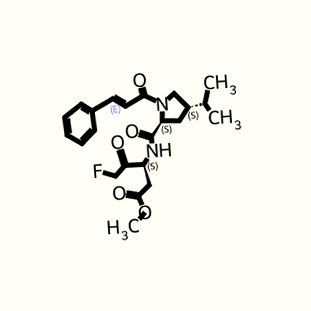 COC(=O)C[C@H](NC(=O)[C@@H]1C[C@@H](C(C)C)CN1C(=O)/C=C/c1ccccc1)C(=O)CF